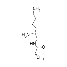 C=CC(=O)NCC(N)CCCCC